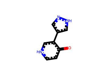 O=c1cc[nH]cc1-c1cn[nH]c1